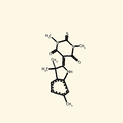 Cc1ccc2c(c1)NC(=C1C(=O)N(C)C(=S)N(C)C1=O)C2(C)C